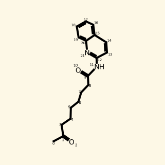 CC(=O)CCCCCCC(=O)Nc1ccc2ccccc2n1